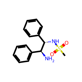 CS(=O)(=O)N[C@@H](c1ccccc1)[C@@H](N)c1ccccc1